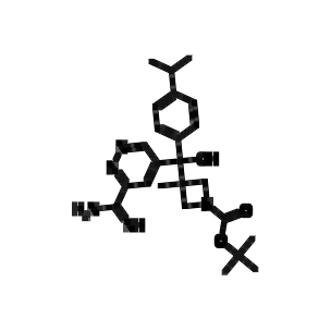 CC(C)c1ccc(C(O)(c2cnnc(C(=N)N)c2)C2(C)CN(C(=O)OC(C)(C)C)C2)cc1